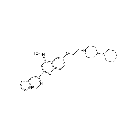 ON=c1cc(-c2cc3cccn3cn2)oc2ccc(OCCN3CCC(N4CCCCC4)CC3)cc12